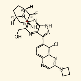 N[C@H]1C[C@@H]2CC[C@H]([C@H]1F)N2c1nc2[nH]nc(-c3ccc4ncc(N5CCC5)nc4c3Cl)c2nc1CO